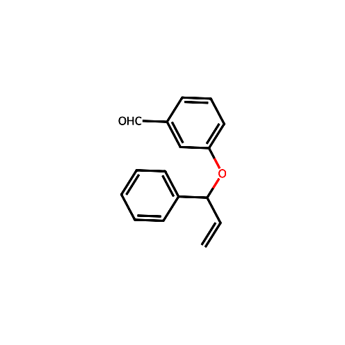 C=CC(Oc1cccc(C=O)c1)c1ccccc1